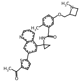 CC(=O)c1ccc(-c2cc(C3(NC(=O)c4cc(OCC5CCN5C)ccc4C)CC3)c3cccnc3c2)s1